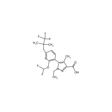 CCn1nc(C(=O)O)c(C)c1-c1ccc(CC(C)(C)C(F)(F)F)nc1OC(F)F